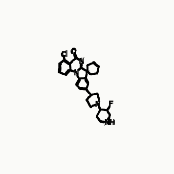 O=c1nc2n(c3cccc(Cl)c13)-c1ccc(C3CCN(C4CCNCC4F)CC3)cc1C21CCCCC1